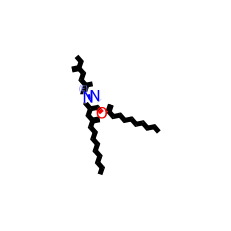 C=NN(/C=C(\C)CCC(=C)CC)CC(COC(=C)CCCCCCCCC)CC(=C)CCCCCCCCC